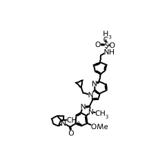 COc1cc(C(=O)N2CC3CCC2C3C)cc2nc(-c3cc4ccc(-c5ccc(CNS(C)(=O)=O)cc5)nc4n3CC3CC3)n(C)c12